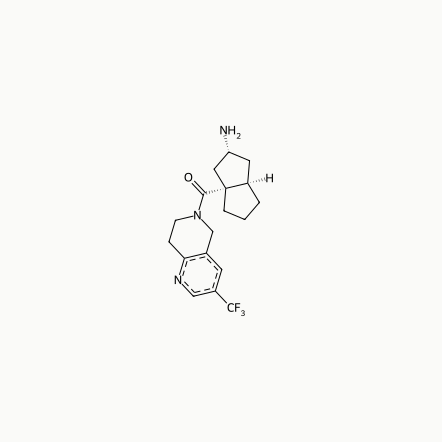 N[C@@H]1C[C@H]2CCC[C@@]2(C(=O)N2CCc3ncc(C(F)(F)F)cc3C2)C1